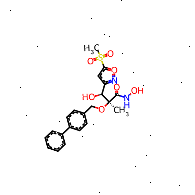 C[C@@](OCc1ccc(-c2ccccc2)cc1)(C(=O)NO)[C@@H](O)c1cc(S(C)(=O)=O)on1